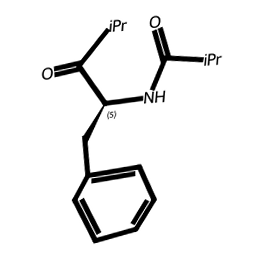 CC(C)C(=O)N[C@@H](Cc1ccccc1)C(=O)C(C)C